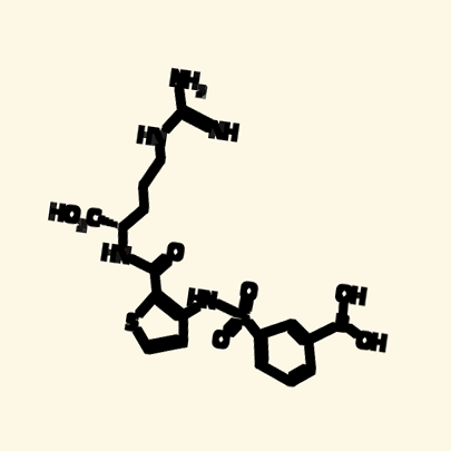 N=C(N)NCCC[C@H](NC(=O)c1sccc1NS(=O)(=O)c1cccc(B(O)O)c1)C(=O)O